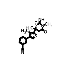 Cc1c(-c2cccc(C#N)c2)csc1[C@@]1(C)CC(=O)N(C)C(=N)N1